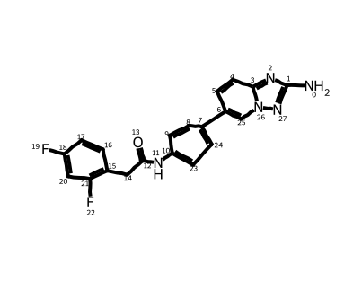 Nc1nc2ccc(-c3ccc(NC(=O)Cc4ccc(F)cc4F)cc3)cn2n1